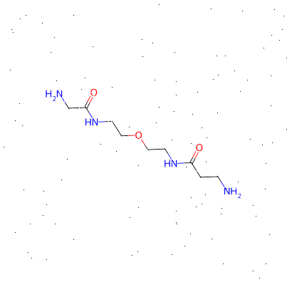 NCCC(=O)NCCOCCNC(=O)CN